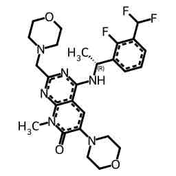 C[C@@H](Nc1nc(CN2CCOCC2)nc2c1cc(N1CCOCC1)c(=O)n2C)c1cccc(C(F)F)c1F